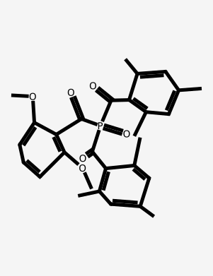 COc1cccc(OC)c1C(=O)P(=O)(C(=O)c1c(C)cc(C)cc1C)C(=O)c1c(C)cc(C)cc1C